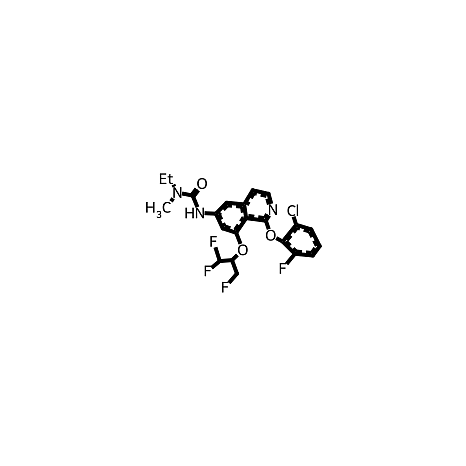 CCN(C)C(=O)Nc1cc(OC(CF)C(F)F)c2c(Oc3c(F)cccc3Cl)nccc2c1